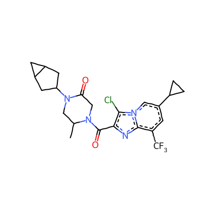 CC1CN(C2CC3CC3C2)C(=O)CN1C(=O)c1nc2c(C(F)(F)F)cc(C3CC3)cn2c1Cl